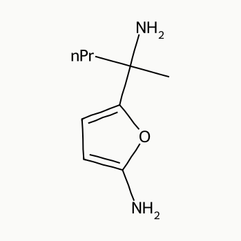 CCCC(C)(N)c1ccc(N)o1